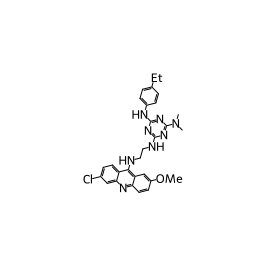 CCc1ccc(Nc2nc(NCCNc3c4ccc(Cl)cc4nc4ccc(OC)cc34)nc(N(C)C)n2)cc1